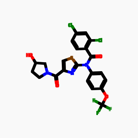 O=C(c1csc(N(C(=O)c2ccc(Cl)cc2Cl)c2ccc(OC(F)(F)F)cc2)n1)N1CCC(O)C1